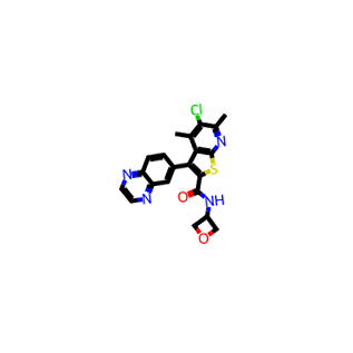 Cc1nc2sc(C(=O)NC3COC3)c(-c3ccc4nccnc4c3)c2c(C)c1Cl